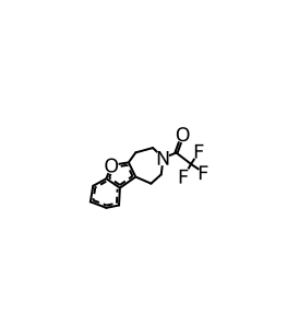 O=C(N1CCc2oc3ccccc3c2CC1)C(F)(F)F